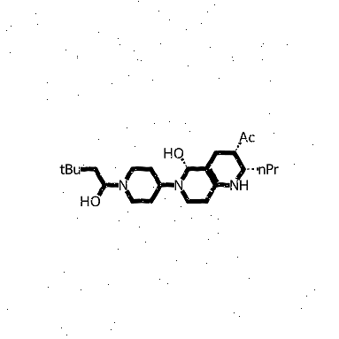 CCC[C@@H]1NC2=C(C[C@@H]1C(C)=O)[C@@H](O)N(C1CCN(C(O)CC(C)(C)C)CC1)CC2